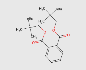 CCCCC(C)(C)COC(=O)c1ccccc1C(=O)OCC(C)(C)CCCC